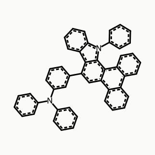 c1ccc(N(c2ccccc2)c2cccc(-c3cc4c5ccccc5c5ccccc5c4c4c3c3ccccc3n4-c3ccccc3)c2)cc1